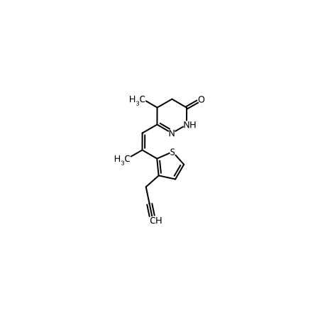 C#CCc1ccsc1C(C)=CC1=NNC(=O)CC1C